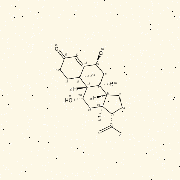 C=C(C)[C@H]1CC[C@H]2[C@@H]3C[C@H](Cl)C4=CC(=O)CC[C@]4(C)[C@H]3[C@@H](O)C[C@]12C